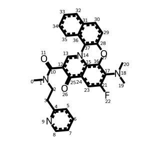 CN(CCc1ccccn1)C(=O)c1cn2c3c(c(N(C)C)c(F)cc3c1=O)Oc1ccc3ccccc3c1-2